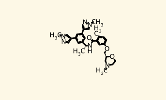 Cc1ccc(OC[C@@H]2CN(C)CCO2)cc1C(=O)N[C@H](C)c1cc(-c2cnn(C)c2)cc(-c2cnn(C)c2)c1